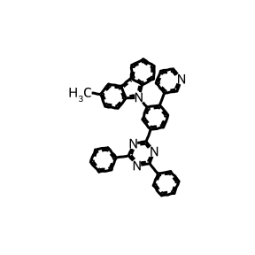 Cc1ccc2c(c1)c1ccccc1n2-c1cc(-c2nc(-c3ccccc3)nc(-c3ccccc3)n2)ccc1-c1cccnc1